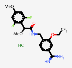 COc1cc(F)c(C(OC)C(=O)NCc2ccc(C(=N)N)cc2OCC(F)(F)F)c(F)c1.Cl